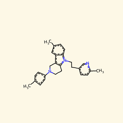 Cc1ccc(N2CCc3c(c4cc(C)ccc4n3CCc3ccc(C)nc3)C2)cc1